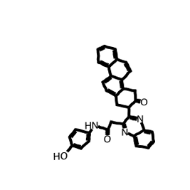 O=C(Cc1nc2ccccc2nc1C1Cc2ccc3c(ccc4ccccc43)c2CC1=O)Nc1ccc(O)cc1